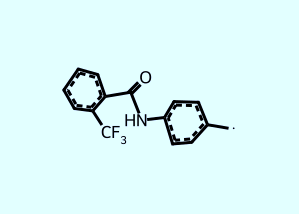 [CH2]c1ccc(NC(=O)c2ccccc2C(F)(F)F)cc1